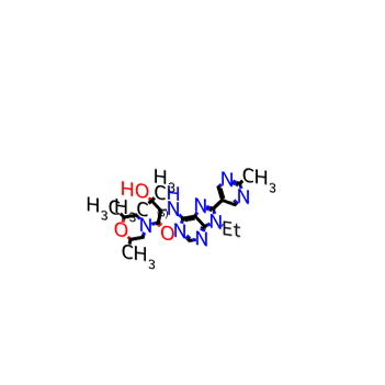 CCn1c(-c2cnc(C)nc2)nc2c(N[C@H](C(=O)N3CC(C)OC(C)C3)C(C)(C)O)ncnc21